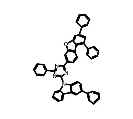 c1ccc(-c2cc(-c3ccccc3)c3c(c2)oc2cc(-c4nc(-c5ccccc5)nc(-n5c6ccccc6c6cc(-c7ccccc7)ccc65)n4)ccc23)cc1